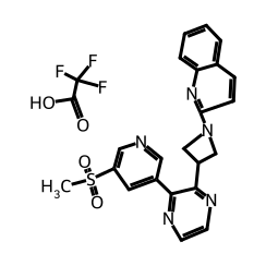 CS(=O)(=O)c1cncc(-c2nccnc2C2CN(c3ccc4ccccc4n3)C2)c1.O=C(O)C(F)(F)F